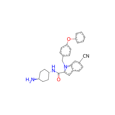 N#Cc1ccc2cc(C(=O)N[C@H]3CC[C@H](N)CC3)n(Cc3ccc(Oc4ccccc4)cc3)c2c1